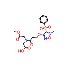 COC(=O)CN(CC(=O)O)C(=O)CCOC1=NON(C)C1S(=O)(=O)c1ccccc1